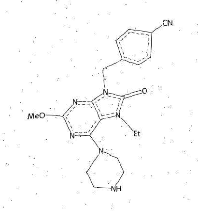 CCn1c(=O)n(Cc2ccc(C#N)cc2)c2nc(OC)nc(N3CCNCC3)c21